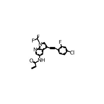 C=CC(=O)Nc1cnc2c(c1)c(C#Cc1ccc(Cl)cc1F)cn2C(F)F